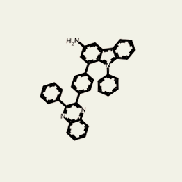 Nc1cc(-c2ccc(-c3nc4ccccc4nc3-c3ccccc3)cc2)c2c(c1)c1ccccc1n2-c1ccccc1